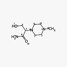 CN1CCN(C(CO)C(N)=O)CC1